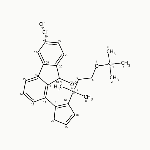 C[Si](C)(C)OCC[Si](C)(C)C1=C(c2cccc3c2[CH]([Zr+2])c2ccccc2-3)CC=C1.[Cl-].[Cl-]